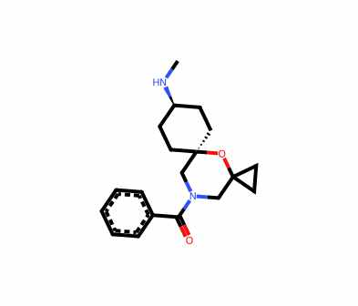 CN[C@H]1CC[C@@]2(CC1)CN(C(=O)c1ccccc1)CC1(CC1)O2